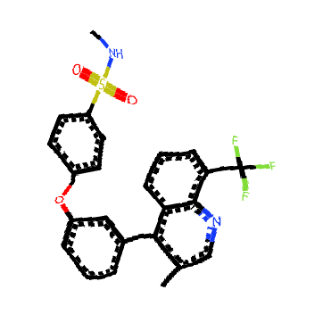 CNS(=O)(=O)c1ccc(Oc2cccc(-c3c(C)cnc4c(C(F)(F)F)cccc34)c2)cc1